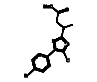 COC(=O)CN(C)c1nc(-c2ccc(Br)cc2)c(Cl)s1